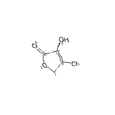 O=C1OCC(Cl)=C1O